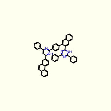 C1=C(c2ccccc2)N=C(c2ccc(-c3cc4ccccc4cc3C3N=C(c4ccccc4)N=C(c4ccccc4)N3)cc2)NC1c1ccc2c(ccc3ccccc32)c1